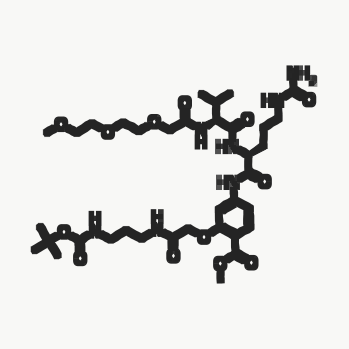 COCCOCCOCC(=O)N[C@H](C(=O)N[C@@H](CCCNC(N)=O)C(=O)Nc1ccc(C(=O)OC)c(OCC(=O)NCCCNC(=O)OC(C)(C)C)c1)C(C)C